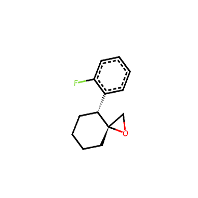 Fc1ccccc1[C@H]1CCCC[C@]12CO2